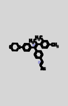 CC(=O)/C=C/c1ccc(/C(=C(/C)c2ccc(C)cc2C)c2ccc(N3CCOCC3)cc2)cc1